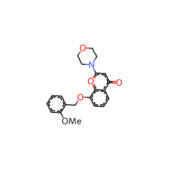 COc1ccccc1COc1cccc2c(=O)cc(N3CCOCC3)oc12